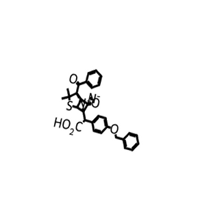 CC1(C)SC2C3C(=O)C2(C(C(=O)O)c2ccc(OCc4ccccc4)cc2)[N+](=[N-])C31C(=O)c1ccccc1